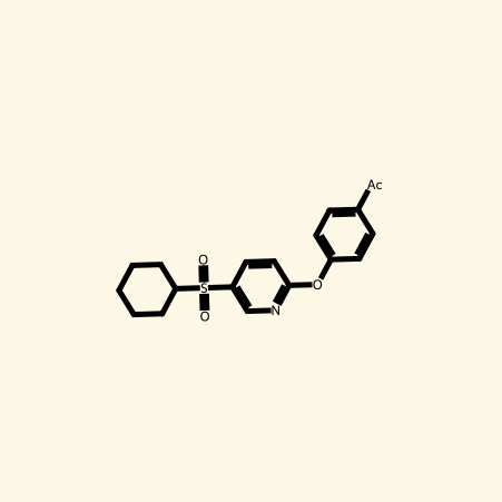 CC(=O)c1ccc(Oc2ccc(S(=O)(=O)C3CCCCC3)cn2)cc1